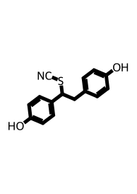 N#CSC(Cc1ccc(O)cc1)c1ccc(O)cc1